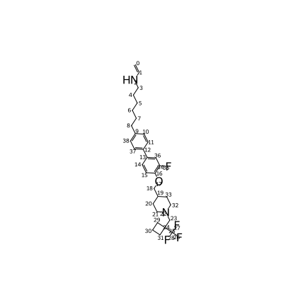 C=CNCCCCCCc1ccc(-c2ccc(OCC3CCN(CC4(C(F)(F)F)CCC4)CC3)c(F)c2)cc1